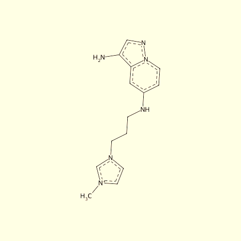 C[n+]1ccn(CCCNc2ccn3ncc(N)c3c2)c1